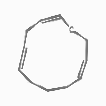 [CH]1/C=C/C/C=C\CC/C=C\CC1